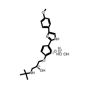 COc1ccc(-c2c[nH]c(-c3ccc(OC[C@@H](O)CNC(C)(C)C)cc3)n2)cc1.Cl.Cl.O.O